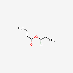 CCCC(=O)OC(Cl)CC